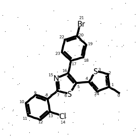 Cc1csc(-c2sc(-c3ccccc3Cl)nc2-c2ccc(Br)cc2)c1